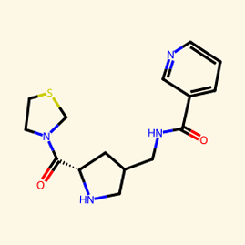 O=C(NCC1CN[C@H](C(=O)N2CCSC2)C1)c1cccnc1